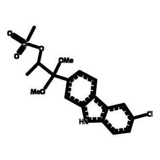 COC(OC)(c1ccc2c(c1)[nH]c1ccc(Cl)cc12)C(C)OS(C)(=O)=O